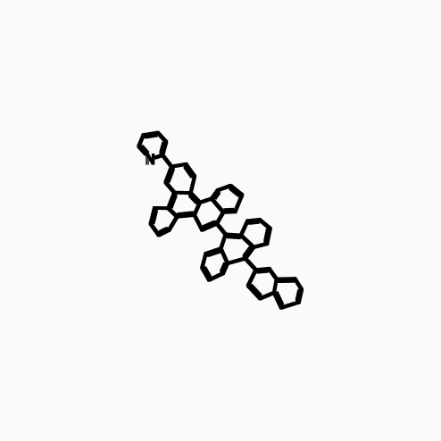 c1ccc(-c2ccc3c(c2)c2ccccc2c2cc(-c4c5ccccc5c(-c5ccc6ccccc6c5)c5ccccc45)c4ccccc4c32)nc1